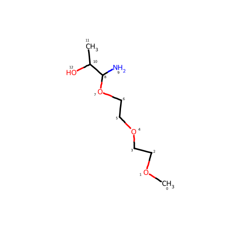 COCCOCCOC(N)C(C)O